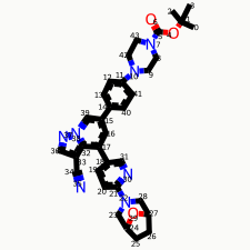 CC(C)(C)OC(=O)N1CCN(c2ccc(-c3cc(-c4ccc(N5CC6CCC(C5)O6)nc4)c4c(C#N)cnn4c3)cc2)CC1